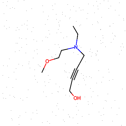 CCN(CC#CCO)CCOC